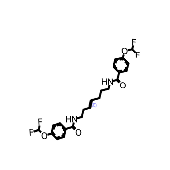 O=C(NCC/C=C/CCCNC(=O)c1ccc(OC(F)F)cc1)c1ccc(OC(F)F)cc1